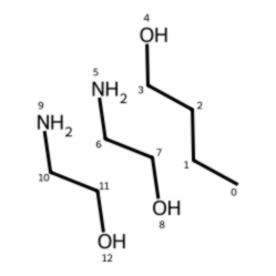 CCCCO.NCCO.NCCO